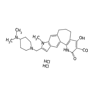 CN(C)C1CCN(Cc2cc3cc4c(cc3n2C)CCCc2c-4[nH]c(=O)c(C(=O)O)c2O)CC1.Cl.Cl